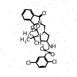 CC(C)(C)[N+]1(C(=O)[O-])C[C@H](NS(=O)(=O)c2cc(Cl)ccc2Cl)C[C@@H]1CN1C(=O)c2ccccc2C1=O